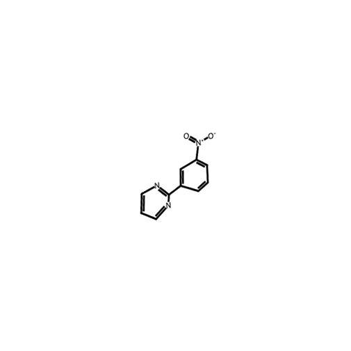 O=[N+]([O-])c1cccc(-c2ncccn2)c1